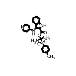 Cc1ccc(S(=O)(=O)C(C)(N)OC(=O)c2[nH]c3ccccc3c2Nc2ccncc2)cc1